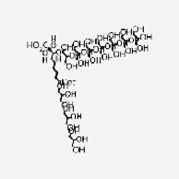 CCCCCCCCCCCCCCCC(O)C(O)(O)C(=O)O.OCC(O)CO.OCC(O)CO.OCC(O)CO.OCC(O)CO.OCC(O)CO.OCC(O)CO.OCC(O)CO.OCC(O)CO.OCC(O)CO.OCC(O)CO